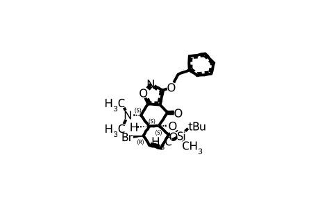 CN(C)[C@@H]1c2onc(OCc3ccccc3)c2C(=O)[C@@]2(O[Si](C)(C)C(C)(C)C)C(=O)C=C[C@@H](Br)[C@@H]12